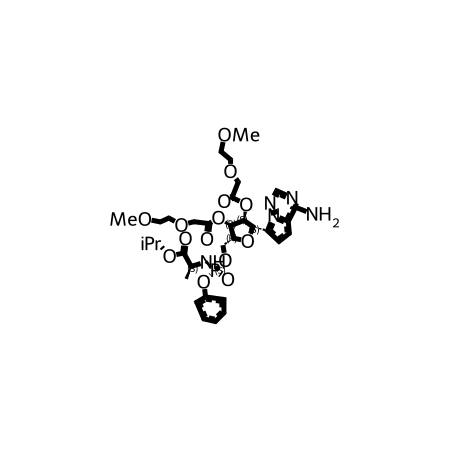 COCCOCC(=O)O[C@@H]1[C@H](OC(=O)COCCOC)[C@@H](CO[P@@](=O)(N[C@@H](C)C(=O)OC(C)C)Oc2ccccc2)O[C@H]1c1ccc2c(N)ncnn12